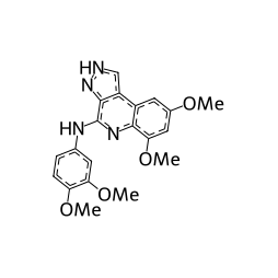 COc1cc(OC)c2nc(Nc3ccc(OC)c(OC)c3)c3n[nH]cc3c2c1